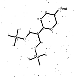 CCCCCC1COC(C(CO[Si](C)(C)C)CO[Si](C)(C)C)OC1